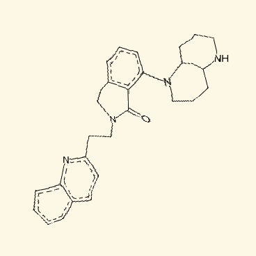 O=C1c2c(cccc2N2CCCC3NCCCC32)CN1CCc1ccc2ccccc2n1